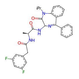 CC(C)N1C(=O)C(NC(=O)[C@H](C)NC(=O)Cc2cc(F)cc(F)c2)N=C(c2ccccc2)c2ccccc21